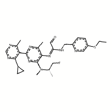 CCSc1ccc(CN/C(C=O)=N/c2c(C)nc(-c3c(C)ncnc3C3CC3)nc2N(C)[C@@H](C)CF)nc1